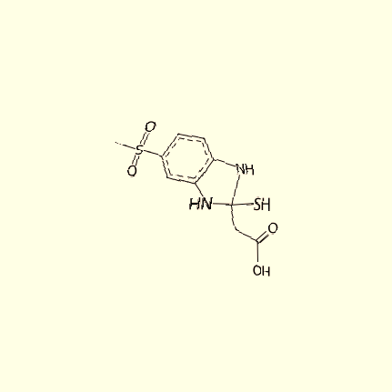 CS(=O)(=O)c1ccc2c(c1)NC(S)(CC(=O)O)N2